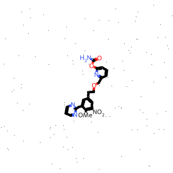 COc1c(-c2ncccn2)cc(CCOCc2cccc(OC(N)=O)n2)cc1[N+](=O)[O-]